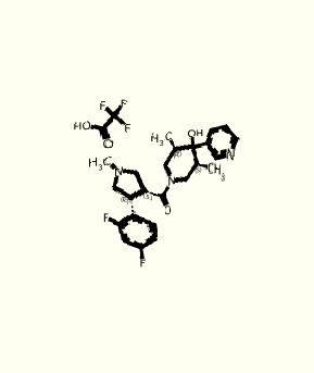 C[C@@H]1CN(C(=O)[C@@H]2CN(C)C[C@H]2c2ccc(F)cc2F)C[C@H](C)C1(O)c1cccnc1.O=C(O)C(F)(F)F